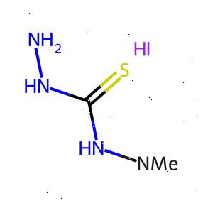 CNNC(=S)NN.I